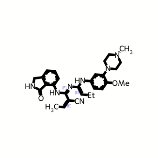 C\C=C(C#N)/C(=N\C(=C\CC)Nc1ccc(OC)c(N2CCN(C)CC2)c1)Nc1cccc2c1C(=O)NC2